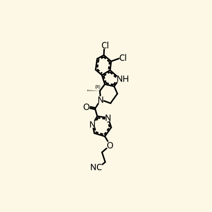 C[C@@H]1c2c([nH]c3c(Cl)c(Cl)ccc23)CCN1C(=O)c1ncc(OCCC#N)cn1